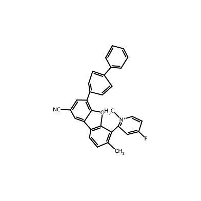 Cc1ccc2c(oc3c(-c4ccc(-c5ccccc5)cc4)cc(C#N)cc32)c1-c1cc(F)cc[n+]1C